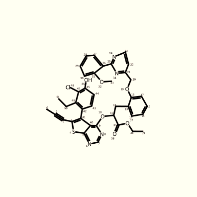 CC#Cc1sc2ncnc(OC(Cc3ccccc3OCc3ccnc(-c4ccccc4OC)n3)C(=O)OCC)c2c1-c1ccc(O)c(Cl)c1CC